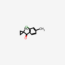 Cc1ccc(C(=O)C2([N+](=O)[O-])CC2)c(Cl)c1